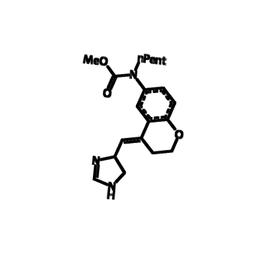 CCCCCN(C(=O)OC)c1ccc2c(c1)/C(=C/C1CNC=N1)CCO2